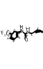 C=CCNC(=O)Nc1cccc(C(F)(F)F)c1